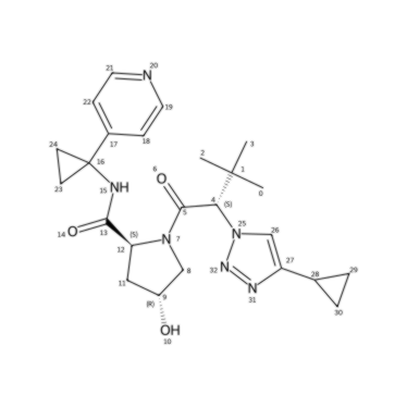 CC(C)(C)[C@@H](C(=O)N1C[C@H](O)C[C@H]1C(=O)NC1(c2ccncc2)CC1)n1cc(C2CC2)nn1